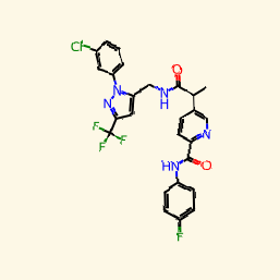 CC(C(=O)NCc1cc(C(F)(F)F)nn1-c1cccc(Cl)c1)c1ccc(C(=O)Nc2ccc(F)cc2)nc1